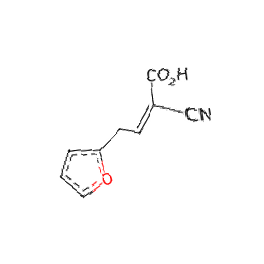 N#CC(=CCc1ccco1)C(=O)O